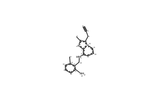 C#CCc1c(C)nc2c(NCc3c(C)cccc3N)cccn12